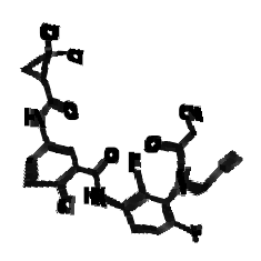 C#CCN(C(=O)CC#N)c1c(F)ccc(NC(=O)c2cc(NC(=O)C3CC3(Cl)Cl)ccc2Cl)c1F